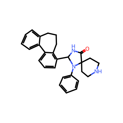 O=C1NC(c2cccc3c2CCCc2ccccc2-3)N(c2ccccc2)C12CCNCC2